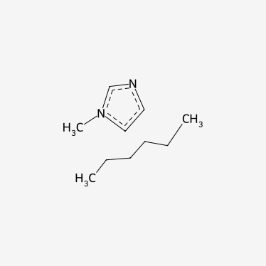 CCCCCC.Cn1ccnc1